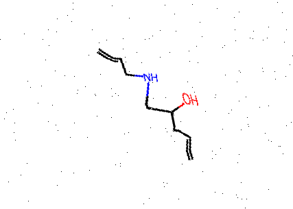 C=CCNCC(O)CC=C